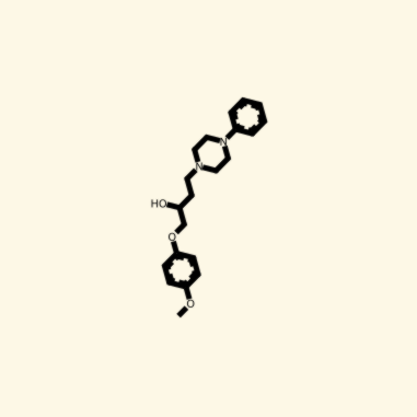 COc1ccc(OCC(O)CCN2CCN(c3ccccc3)CC2)cc1